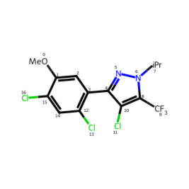 COc1cc(-c2nn(C(C)C)c(C(F)(F)F)c2Cl)c(Cl)cc1Cl